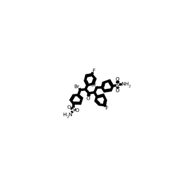 NS(=O)(=O)c1ccc(C(Br)C(C(=O)C(c2ccc(F)cc2)C(Br)c2ccc(S(N)(=O)=O)cc2)c2ccc(F)cc2)cc1